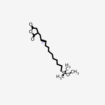 CO[Si](C)(C)CCCCCCCCC/C=C/CC1CC(=O)OC1=O